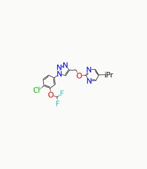 CC(C)c1cnc(OCc2cn(-c3ccc(Cl)c(OC(F)F)c3)nn2)nc1